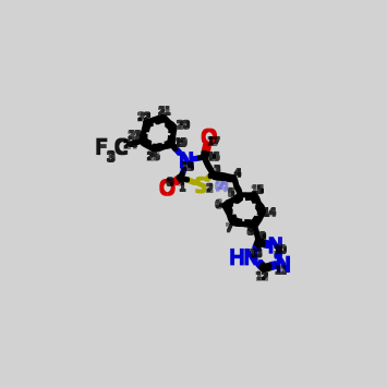 O=C1S/C(=C\c2ccc(-c3nnc[nH]3)cc2)C(=O)N1c1cccc(C(F)(F)F)c1